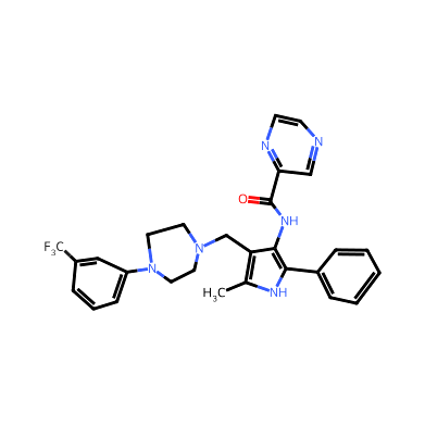 Cc1[nH]c(-c2ccccc2)c(NC(=O)c2cnccn2)c1CN1CCN(c2cccc(C(F)(F)F)c2)CC1